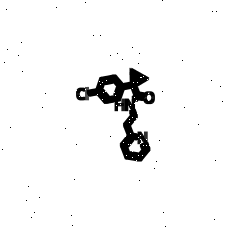 O=C(NCCc1ccccn1)C1(c2ccc(Cl)cc2)CC1